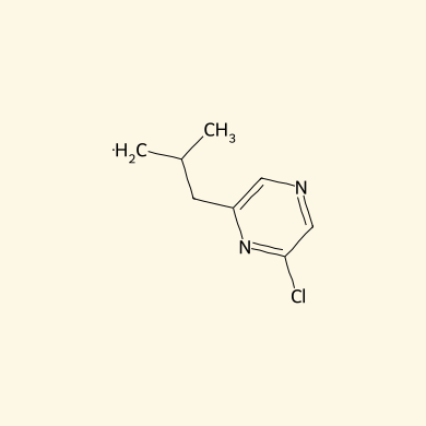 [CH2]C(C)Cc1cncc(Cl)n1